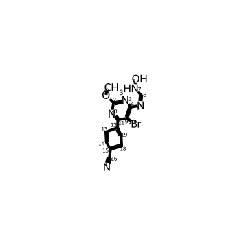 COc1nc(/N=C\NO)c(Br)c(-c2ccc(C#N)cc2)n1